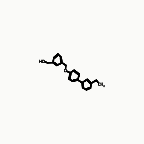 CCc1cccc(-c2ccc(OCc3cccc(CO)c3)cc2)c1